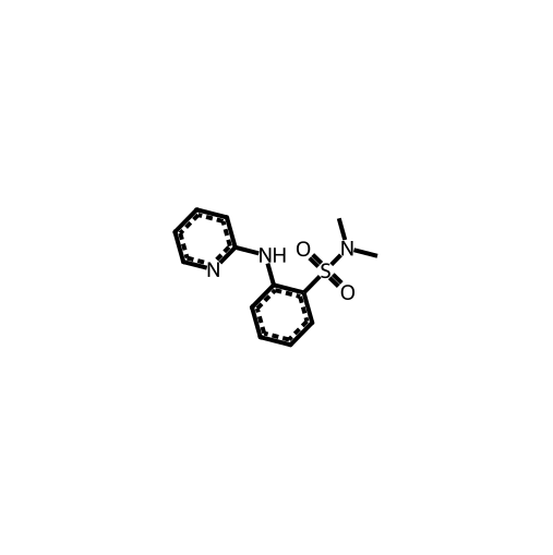 CN(C)S(=O)(=O)c1ccccc1Nc1ccccn1